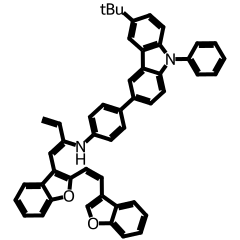 C=C/C(=C/c1c(/C=C\c2coc3ccccc23)oc2ccccc12)Nc1ccc(-c2ccc3c(c2)c2cc(C(C)(C)C)ccc2n3-c2ccccc2)cc1